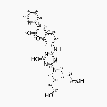 O=c1oc2cc(Nc3nc(O)nc(N(CCCCO)CCCCO)n3)ccc2cc1-c1ccccn1